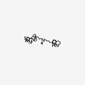 Cc1c2cnn(C)c2nc[n+]1OC(=O)CCCN(CCCCc1ccc2c(n1)NCCC2)C1CC1